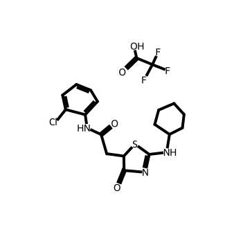 O=C(CC1SC(NC2CCCCC2)=NC1=O)Nc1ccccc1Cl.O=C(O)C(F)(F)F